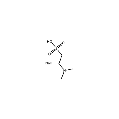 CN(C)CCS(=O)(=O)O.[NaH]